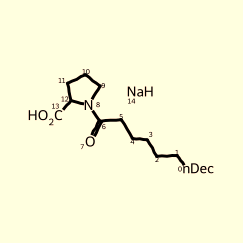 CCCCCCCCCCCCCCCC(=O)N1CCCC1C(=O)O.[NaH]